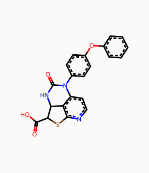 O=C(O)C1Sc2nccc3c2C1NC(=O)N3c1ccc(Oc2ccccc2)cc1